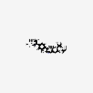 CC1(C)CC(CC(=N)/C=C\C(=N)c2ccc(/C(C=N)=C/N)cc2O)CC(C)(C)N1